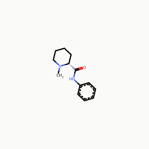 CN1CCCC[C@@H]1C(=O)Nc1ccccc1